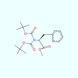 COC(=O)[C@H](Cc1ccccc1)N(C(=O)OC(C)(C)C)C(=O)OC(C)(C)C